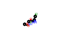 O=C(c1cccc(NS(=O)(=O)Cc2ccccc2)c1F)c1c[nH]c2ncc(-c3ccc(Cl)cc3)cc12